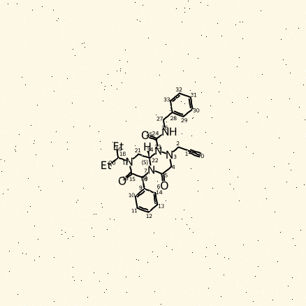 C#CCN1CC(=O)N2[C@@H](c3ccccc3)C(=O)N(C(CC)CC)C[C@@H]2N1C(=O)NCc1ccccc1